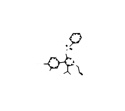 C=CCn1nc(NS(=O)(=O)c2ccccc2)c(-c2ccc(OC)c(F)c2)c1C(F)F